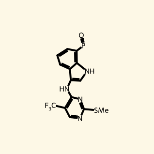 CSc1ncc(C(F)(F)F)c(Nc2c[nH]c3c(P=O)cccc23)n1